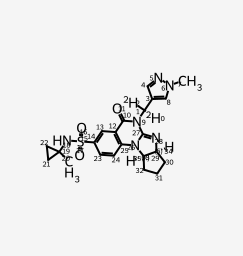 [2H]C([2H])(c1cnn(C)c1)N1C(=O)c2cc(S(=O)(=O)NC3(C)CC3)ccc2N2C1=N[C@H]1CCC[C@H]12